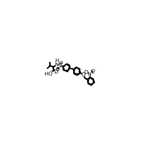 CC(C)C(NS(=O)(=O)c1ccc(-c2ccc(OCc3ccccc3[N+](=O)[O-])cc2)cc1)C(=O)O